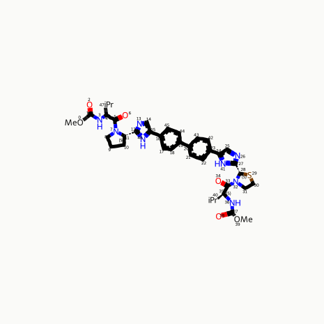 COC(=O)NC(C(=O)N1CCC[C@H]1c1ncc(-c2ccc(-c3ccc(-c4cnc([C@@H]5SCCN5C(=O)[C@@H](NC(=O)OC)C(C)C)[nH]4)cc3)cc2)[nH]1)C(C)C